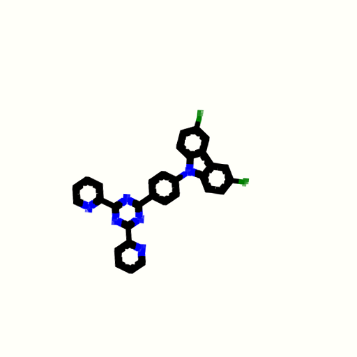 Fc1ccc2c(c1)c1cc(F)ccc1n2-c1ccc(-c2nc(-c3ccccn3)nc(-c3ccccn3)n2)cc1